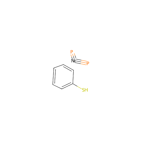 Sc1ccccc1.[P]#[Ni]#[P]